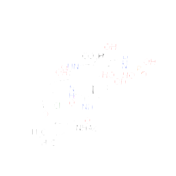 CC(=O)NC1C(=O)NC2C(=O)NC(C(=O)NC(C(=O)O)c3cc(O)c(CNCP(=O)(O)O)c(O)c3-c3cc2ccc3O)C(O)c2ccc(c(Cl)c2)Oc2cc1cc(C)c2C